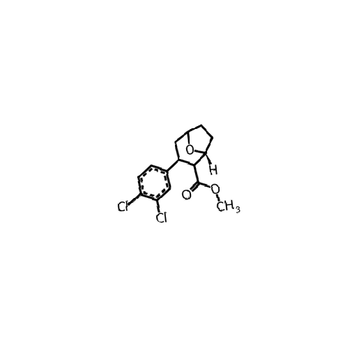 COC(=O)C1C(c2ccc(Cl)c(Cl)c2)CC2CC[C@H]1O2